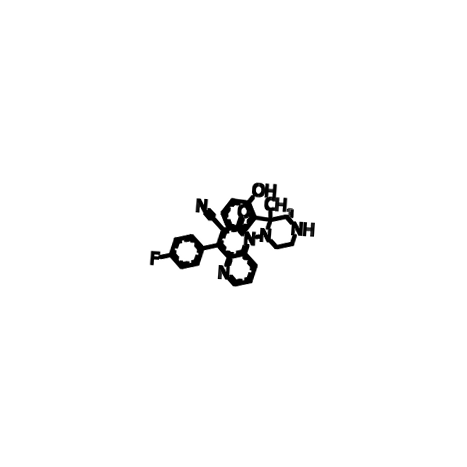 CC1(c2ccccc2O)CNCCN1n1c(=O)c(C#N)c(-c2ccc(F)cc2)c2ncccc21